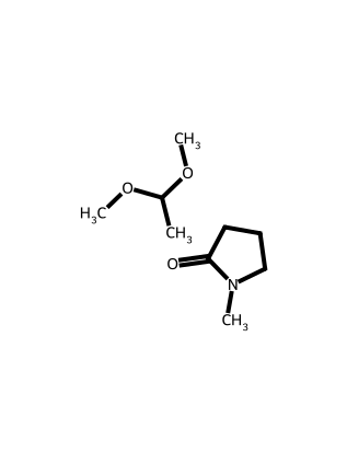 CN1CCCC1=O.COC(C)OC